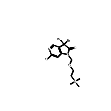 C[Si](C)(C)CCOCN1C(=O)C(Br)(Br)c2cnc(Cl)cc21